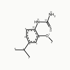 COc1cc(C(C)C)ccc1NC(N)=S